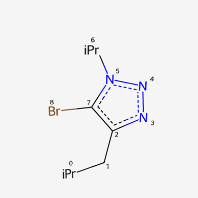 CC(C)Cc1nnn(C(C)C)c1Br